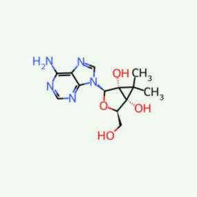 CC1(C)[C@]2(O)[C@H](n3cnc4c(N)ncnc43)O[C@H](CO)[C@]12O